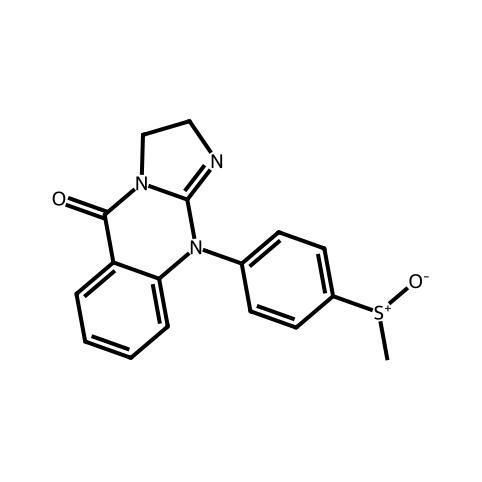 C[S+]([O-])c1ccc(N2C3=NCCN3C(=O)c3ccccc32)cc1